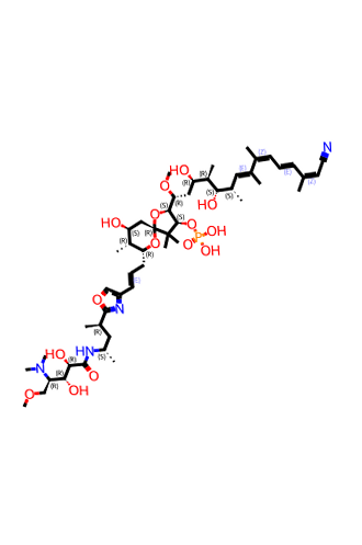 COC[C@H]([C@@H](O)[C@@H](O)C(=O)N[C@@H](C)C[C@@H](C)c1nc(/C=C/C[C@H]2O[C@]3(C[C@H](O)[C@H]2C)O[C@@H]([C@@H](C[C@@H](O)[C@@H](C)[C@@H](O)[C@@H](C)/C=C(C)/C(C)=C\C=C\C(C)=C/C#N)OC)[C@@H](OP(=O)(O)O)C3(C)C)co1)N(C)C